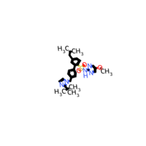 COc1cnc(NS(=O)(=O)c2ccc(CC(C)C)cc2-c2ccc(Cn3ccnc3C(C)(C)C)cc2)nc1